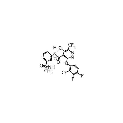 Cc1c(C(F)(F)F)nnc(Oc2ccc(F)c(F)c2Cl)c1C(=O)Nc1cccc(S(C)(=N)=O)c1